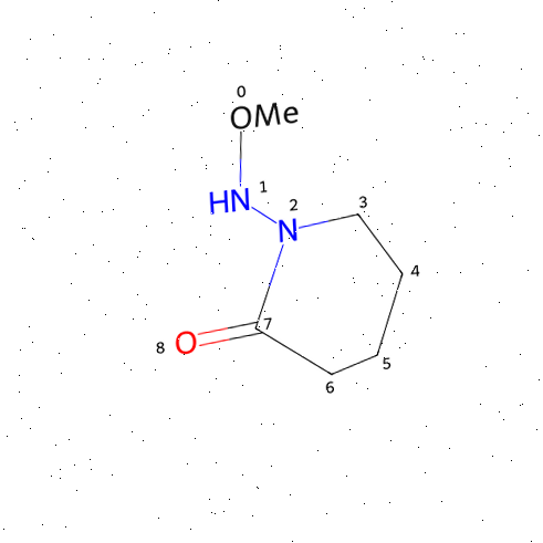 CONN1CCCCC1=O